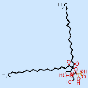 CCCCCCCCCCCCCCCCCC(=O)C(OC(C(O)CO)P(=O)(O)O)(C(=O)CCCCCCCCCCCCCCCCC)[C@@H](O)CO